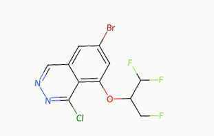 FCC(Oc1cc(Br)cc2cnnc(Cl)c12)C(F)F